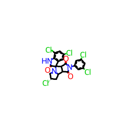 O=C1C2C3C[C@H](Cl)CN3C3(C(=O)Nc4c(Cl)cc(Cl)cc43)C2C(=O)N1c1cc(Cl)cc(Cl)c1